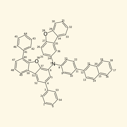 c1ccc(-c2cc(N(c3ccc(-c4ccc5ccccc5c4)cc3)c3ccc4oc5ccccc5c4c3)c3oc4c(-c5ccccc5)cccc4c3c2)cc1